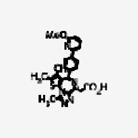 COc1cccc(-c2ccc(C3=N[C@@H](CC(=O)O)c4nnc(C)n4-c4sc(C)c(C)c43)cc2)n1